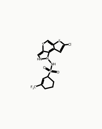 O=S(=O)(NN1NC=C2SC=c3sc(Cl)cc3=C21)C1C=C(C(F)(F)F)CCC1